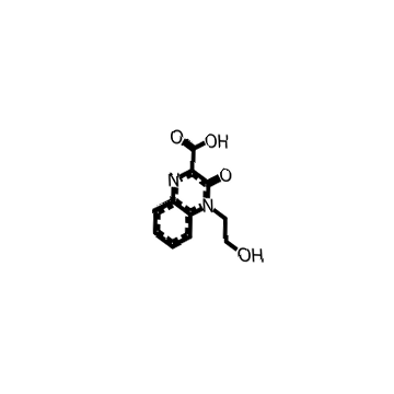 O=C(O)c1nc2ccccc2n(CCO)c1=O